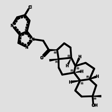 C[C@@]1(O)CC[C@H]2[C@H](CC[C@@H]3[C@@H]2CC[C@]2(C)[C@@H](C(=O)Cn4ncc5ncc(Cl)cc54)CC[C@@H]32)C1